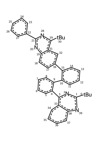 CC(C)(C)c1nc(-c2ccccc2-c2ccccc2-c2ccc3nc(-c4ccccc4)nc(C(C)(C)C)c3c2)c2ccccc2n1